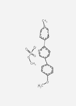 COS(=O)(=O)[O-].COc1ccc(-c2ccc(-c3cc[n+](C)cc3)nc2)cc1